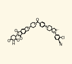 C[C@H]1CC2(CCN(c3ccc(C(=O)N4CCC(N5Cc6cc7c(cc6C5)C(=O)N(C5CCC(=O)NC5=O)C7=O)CC4)cc3)CC2)CN1c1ccc(C#N)c(Cl)c1